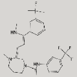 C=C(Nc1cccc(C(F)(F)F)c1)N1CCCN(C)/C(=C/C=C(\NC)c2cccc(C(C)(C)F)c2)C1